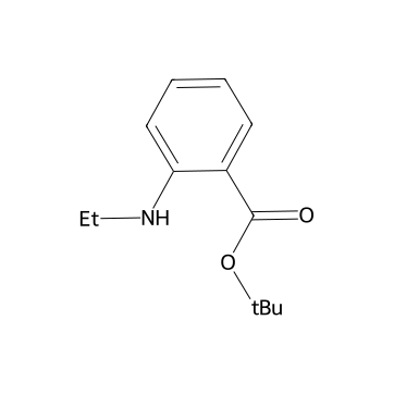 CCNc1ccccc1C(=O)OC(C)(C)C